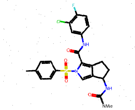 CNC(=O)NC1CCc2c1cn(S(=O)(=O)c1ccc(C)cc1)c2C(=O)Nc1ccc(F)c(Cl)c1